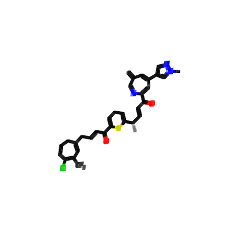 C=C1C=NC(C(=O)/C=C/[C@H](C)C2=CCC=C(C(=O)/C=C/CC3=CC(C(F)(F)F)=C(Cl)C=CC3)S2)=CC(c2cnn(C)c2)=C1